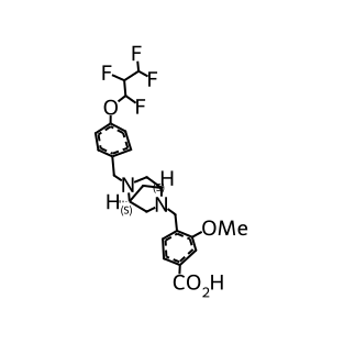 COc1cc(C(=O)O)ccc1CN1C[C@@H]2C[C@H]1CN2Cc1ccc(OC(F)C(F)C(F)F)cc1